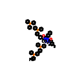 C=Cc1cc(C)c(NC(=O)Nc2cc3ccccc3cc2C(=O)NC(C(=O)O)C2CCCCC2)c(C)c1.[Pd].c1ccc(P(c2ccccc2)c2ccccc2)cc1.c1ccc(P(c2ccccc2)c2ccccc2)cc1.c1ccc(P(c2ccccc2)c2ccccc2)cc1.c1ccc(P(c2ccccc2)c2ccccc2)cc1